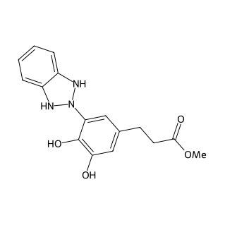 COC(=O)CCc1cc(O)c(O)c(N2Nc3ccccc3N2)c1